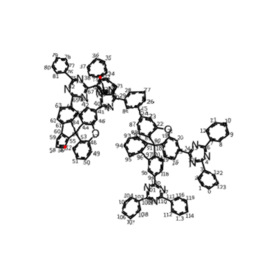 c1ccc(-c2nc(-c3ccccc3)nc(-c3ccc4c(c3)Oc3cc(-c5cccc(-c6nc(-c7ccccc7)nc(-c7ccc8c(c7)Oc7ccccc7C87c8ccccc8-c8ccc(-c9nc(-c%10ccccc%10)nc(-c%10ccccc%10)n9)cc87)n6)c5)ccc3C43c4ccccc4-c4cc(-c5nc(-c6ccccc6)nc(-c6ccccc6)n5)ccc43)n2)cc1